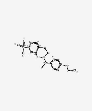 C[C@H](c1cnc(OCC(F)(F)F)cn1)N1CCc2ccc(S(=O)(=O)Cl)cc2C1